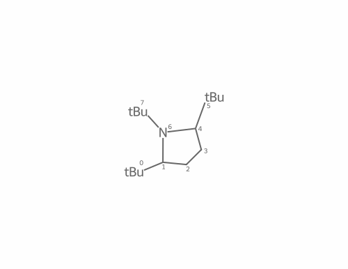 CC(C)(C)C1CCC(C(C)(C)C)N1C(C)(C)C